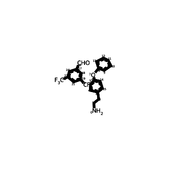 NCCc1ccc(Oc2ccccc2)cc1.O=Cc1cc(C(F)(F)F)cc(C(F)(F)F)c1